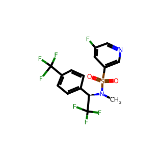 CN([C@H](c1ccc(C(F)(F)F)cc1)C(F)(F)F)S(=O)(=O)c1cncc(F)c1